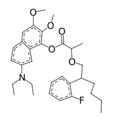 CCCCC(COC(C)C(=O)Oc1c(OC)c(OC)cc2ccc(N(CC)CC)cc12)c1ccccc1F